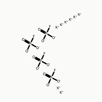 O=P([O-])([O-])F.O=P([O-])([O-])F.O=P([O-])([O-])F.O=P([O-])([O-])F.[K+].[K+].[K+].[K+].[K+].[K+].[K+].[K+]